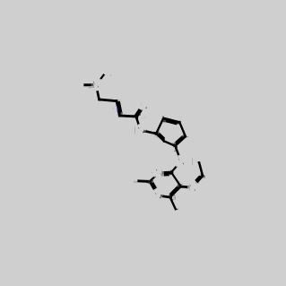 C/C=N\c1c(C)nc(C)nc1Nc1cccc(NC(=O)/C=C/CN(C)C)c1